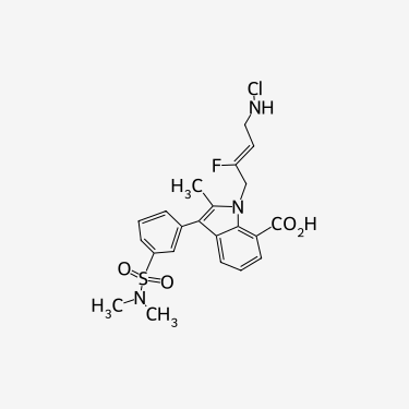 Cc1c(-c2cccc(S(=O)(=O)N(C)C)c2)c2cccc(C(=O)O)c2n1C/C(F)=C/CNCl